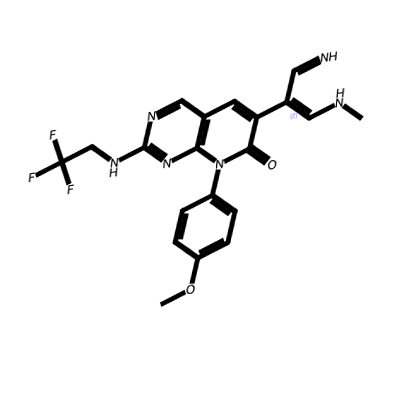 CN/C=C(\C=N)c1cc2cnc(NCC(F)(F)F)nc2n(-c2ccc(OC)cc2)c1=O